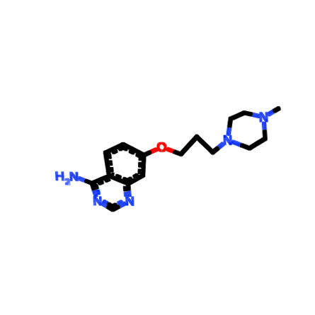 CN1CCN(CCCOc2ccc3c(N)ncnc3c2)CC1